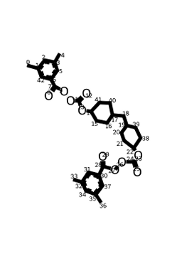 Cc1cc(C)cc(C(=O)OOC(=O)OC2CCC(CC3CCC(OC(=O)OOC(=O)c4cc(C)cc(C)c4)CC3)CC2)c1